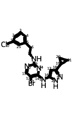 Clc1cccc(CCNc2ncc(Br)c(Nc3cc(C4CC4)n[nH]3)n2)c1